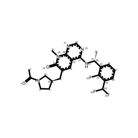 CC(=O)N1CC[C@H](Cc2cc3c(N[C@H](C)c4cccc(C(F)F)c4F)ncnc3n(C)c2=O)C1